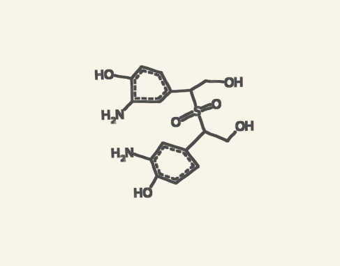 Nc1cc(C(CO)S(=O)(=O)C(CO)c2ccc(O)c(N)c2)ccc1O